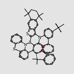 CC(C)(C)c1ccc(N2c3cc4c(c5c3B(c3sc6cc7c(cc6c32)C(C)(C)CCC7(C)C)N2c3ccccc3Sc3cccc-5c32)C(C)(C)c2ccccc2-4)c(-c2ccccc2)c1